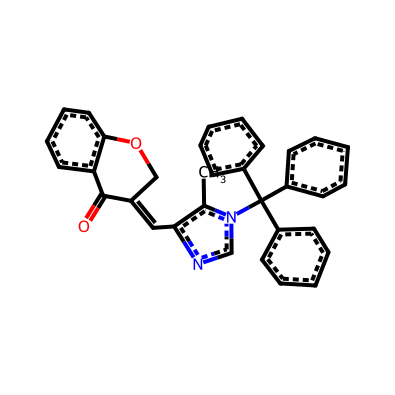 Cc1c(/C=C2\COc3ccccc3C2=O)ncn1C(c1ccccc1)(c1ccccc1)c1ccccc1